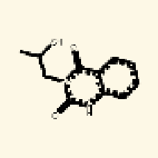 CC(S)Cn1c(=O)[nH]c2ccccc2c1=O